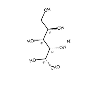 O=C[C@H](O)[C@@H](O)[C@H](O)[C@H](O)CO.[N]